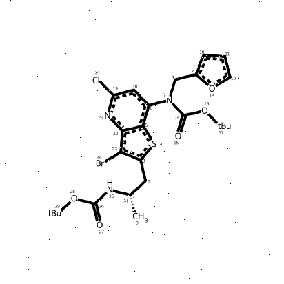 C[C@@H](Cc1sc2c(N(Cc3ccco3)C(=O)OC(C)(C)C)cc(Cl)nc2c1Br)NC(=O)OC(C)(C)C